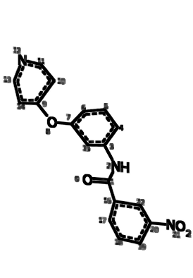 O=C(Nc1cccc(Oc2ccncc2)c1)c1cccc([N+](=O)[O-])c1